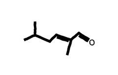 C/C(C=O)=C\CC(C)C